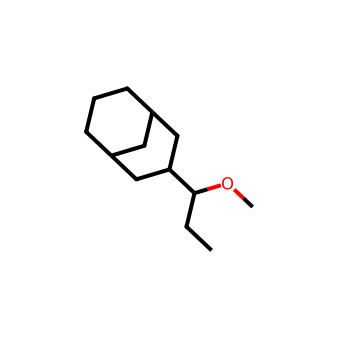 CCC(OC)C1CC2CCCC(C2)C1